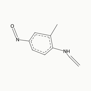 C=CNc1ccc(N=O)cc1C